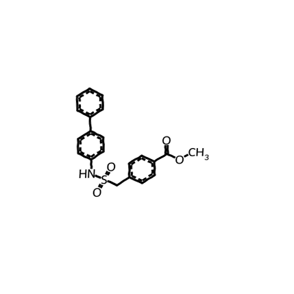 COC(=O)c1ccc(CS(=O)(=O)Nc2ccc(-c3ccccc3)cc2)cc1